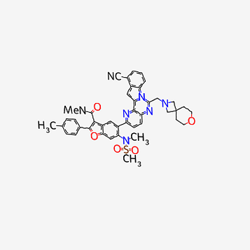 CNC(=O)c1c(-c2ccc(C)cc2)oc2cc(N(C)S(C)(=O)=O)c(-c3ccc4nc(CN5CC6(CCOCC6)C5)n5c6cccc(C#N)c6cc5c4n3)cc12